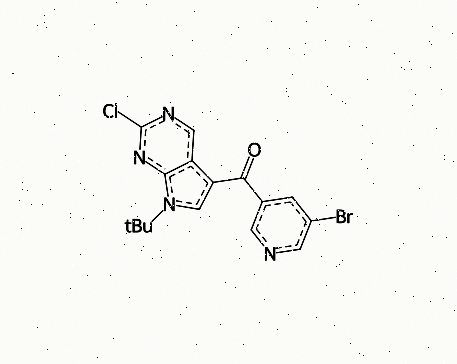 CC(C)(C)n1cc(C(=O)c2cncc(Br)c2)c2cnc(Cl)nc21